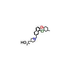 C[C@H]1CC[C@@H](Oc2ccc3ccc(CN4CCC(C(=O)O)CC4)cc3c2Cl)CC1